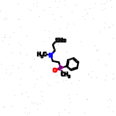 CSCCN(C)CCP(C)(=O)c1ccccc1